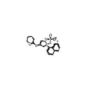 O=S(=O)(OS1(c2cccc3ccccc23)CCC(OC2CCCCO2)C1)C(F)(F)F